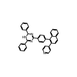 c1ccc(C2=NC(c3ccc(-c4c(-c5ccncc5)ccc5ccccc45)cc3)=NC(c3ccccc3)N2)cc1